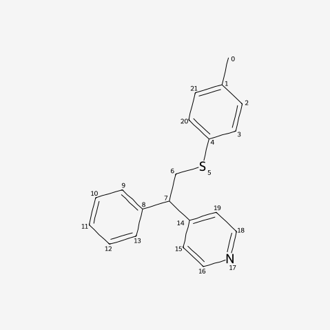 Cc1ccc(SCC(c2ccccc2)c2ccncc2)cc1